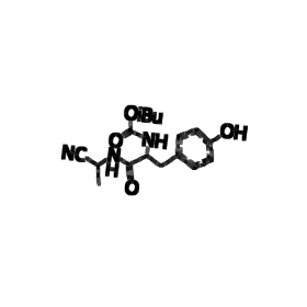 CC(C)COC(=O)NC(Cc1ccc(O)cc1)C(=O)NC(C)C#N